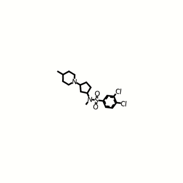 CC1CCN(C2CCC(N(C)S(=O)(=O)c3ccc(Cl)c(Cl)c3)C2)CC1